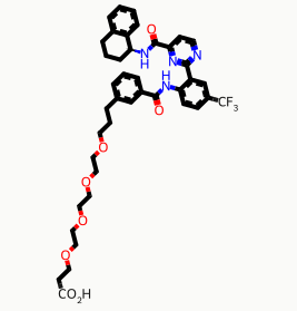 O=C(O)CCOCCOCCOCCOCCCc1cccc(C(=O)Nc2ccc(C(F)(F)F)cc2-c2nccc(C(=O)N[C@H]3CCCc4ccccc43)n2)c1